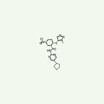 Cn1nncc1Sc1ccc([N+](=O)[O-])cc1C(=O)Nc1ncc(C2CCCC2)cn1